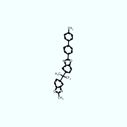 Cc1ccc(-c2ccc(-c3nc4cc(C(C)(c5ccc6oc(C)nc6c5)C(F)(F)F)ccc4o3)cc2)cc1